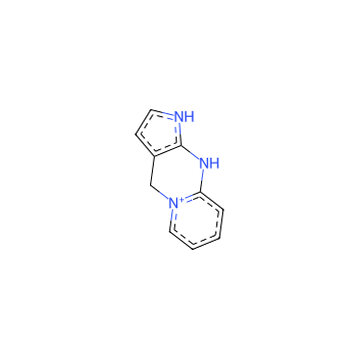 c1cc[n+]2c(c1)Nc1[nH]ccc1C2